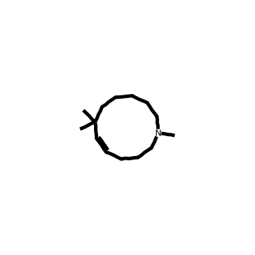 CN1CCC/C=C\C(C)(C)CCCCC1